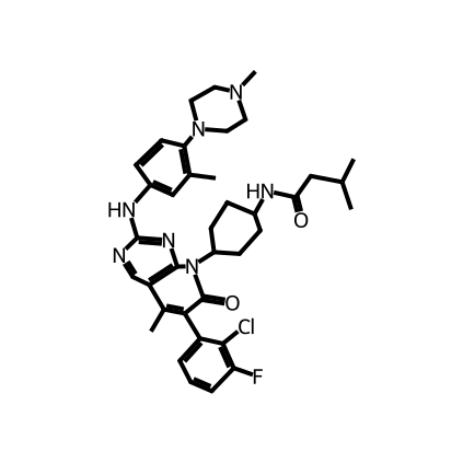 Cc1cc(Nc2ncc3c(C)c(-c4cccc(F)c4Cl)c(=O)n(C4CCC(NC(=O)CC(C)C)CC4)c3n2)ccc1N1CCN(C)CC1